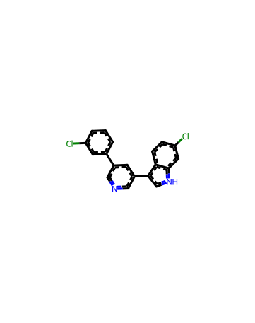 Clc1cccc(-c2cncc(-c3c[nH]c4cc(Cl)ccc34)c2)c1